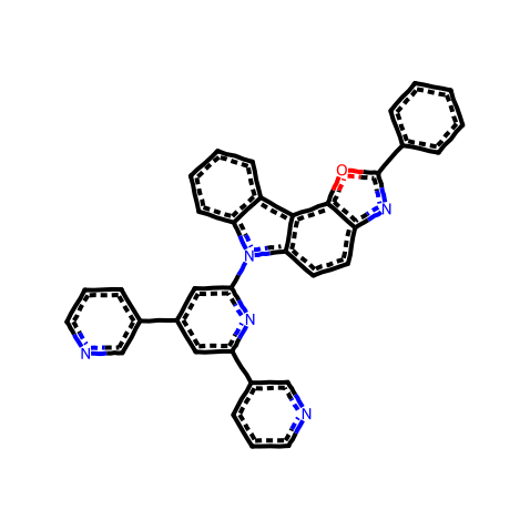 c1ccc(-c2nc3ccc4c(c5ccccc5n4-c4cc(-c5cccnc5)cc(-c5cccnc5)n4)c3o2)cc1